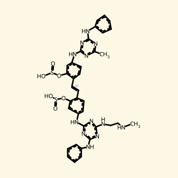 CNCCNc1nc(Nc2ccccc2)nc(Nc2ccc(/C=C/c3ccc(Nc4nc(C)nc(Nc5ccccc5)n4)cc3OS(=O)O)c(OS(=O)O)c2)n1